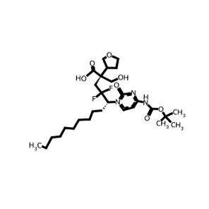 CCCCCCCCCC[C@@H](n1ccc(NC(=O)OC(C)(C)C)nc1=O)C(F)(F)C[C@@](CO)(C(=O)O)C1CCOC1